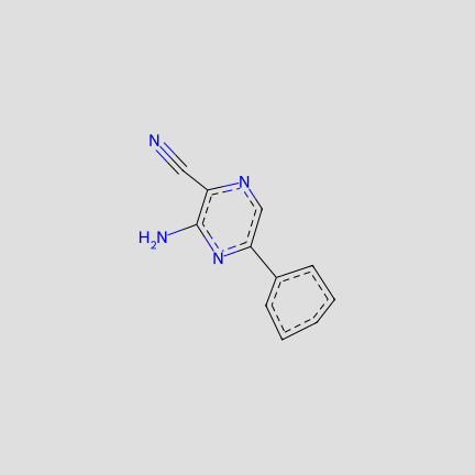 N#Cc1ncc(-c2ccccc2)nc1N